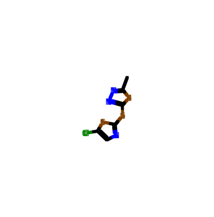 Cc1nnc(Sc2ncc(Cl)s2)s1